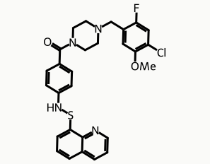 COc1cc(CN2CCN(C(=O)c3ccc(NSc4cccc5cccnc45)cc3)CC2)c(F)cc1Cl